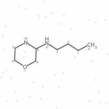 CCCCNC1COCC[N]1